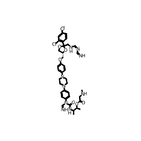 CNCC(=O)OC(C)C(C)NC(=O)N(C=N)c1ccc(N2CCN(c3ccc(OC[C@@H]4COC(CN/C=N\C=N)(c5ccc(Cl)cc5Cl)O4)cc3)CC2)cc1